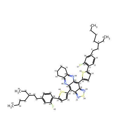 CCCCC(CC)CCc1ccc(-c2ccc(-c3c4nsnc4c(-c4ccc(-c5ccc(CCC(CC)CCCC)cc5F)s4)c4nc5c(nc34)CCCC5)s2)c(F)c1